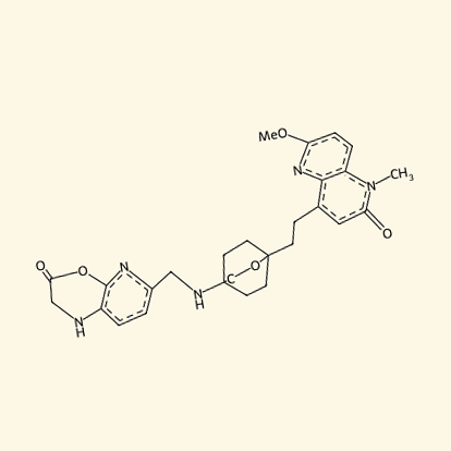 COc1ccc2c(n1)c(CCC13CCC(NCc4ccc5c(n4)OC(=O)CN5)(CC1)CO3)cc(=O)n2C